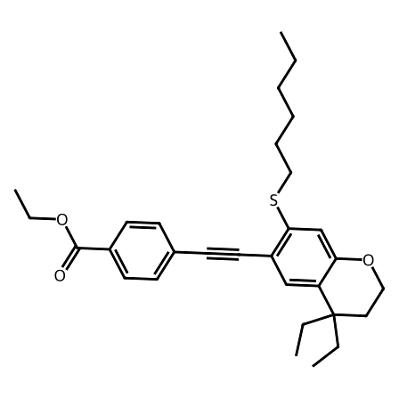 CCCCCCSc1cc2c(cc1C#Cc1ccc(C(=O)OCC)cc1)C(CC)(CC)CCO2